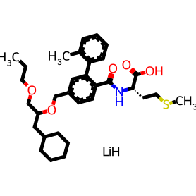 CCCOCC(CC1CCCCC1)OCc1ccc(C(=O)N[C@@H](CCSC)C(=O)O)c(-c2ccccc2C)c1.[LiH]